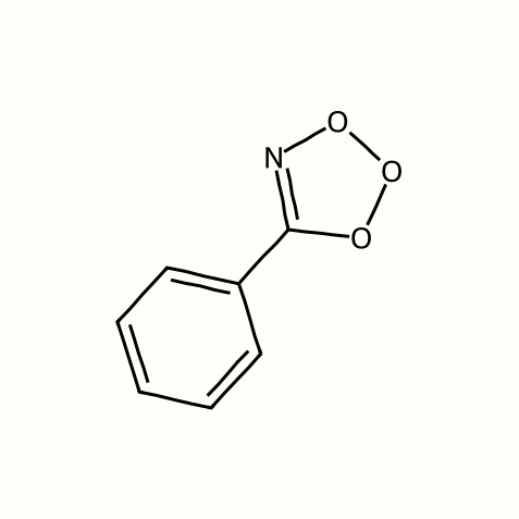 c1ccc(C2=NOOO2)cc1